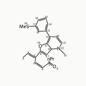 C/C=C(\C=C/C(=O)CCC)C1=CC2C(=C(c3cccc(SC)c3)C=CN2C)O1